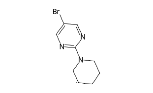 Brc1cnc(N2C[CH]CCC2)nc1